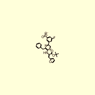 CC(C)(C)OC(=O)C(=Cc1ccco1)Nc1ncc(-c2cc(F)cc([N+](=O)[O-])c2)nc1Cc1ccccc1